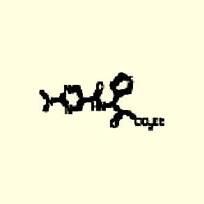 CCOC(=O)CC(=O)C(NC(=O)c1cnc(N(C)C)nc1)c1ccsc1